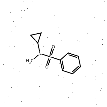 CN(C1CC1)S(=O)(=O)c1ccccc1